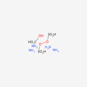 N.N.N.N.O=C(O)O.O=S(=O)(O)OOS(=O)(=O)O